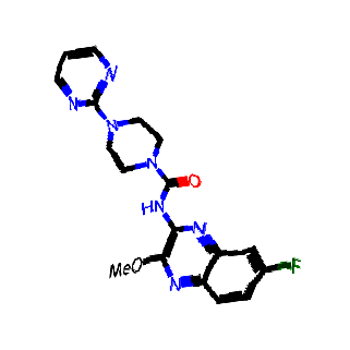 COc1nc2ccc(F)cc2nc1NC(=O)N1CCN(c2ncccn2)CC1